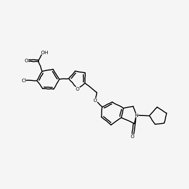 O=C(O)c1cc(-c2ccc(COc3ccc4c(c3)CN(C3CCCC3)C4=O)o2)ccc1Cl